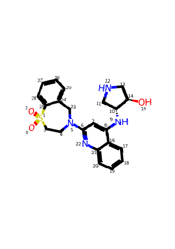 O=S1(=O)CCN(c2cc(N[C@@H]3CNC[C@H]3O)c3ccccc3n2)Cc2ccccc21